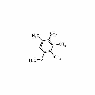 CSc1cc(C)c(C)c(C)c1C